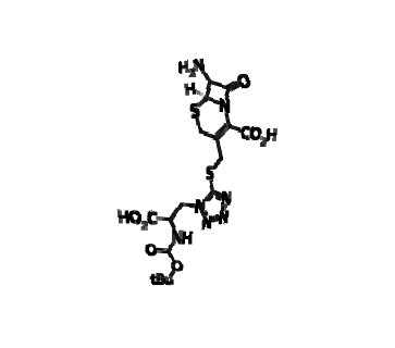 CC(C)(C)OC(=O)NC(Cn1nnnc1SCC1=C(C(=O)O)N2C(=O)C(N)[C@@H]2SC1)C(=O)O